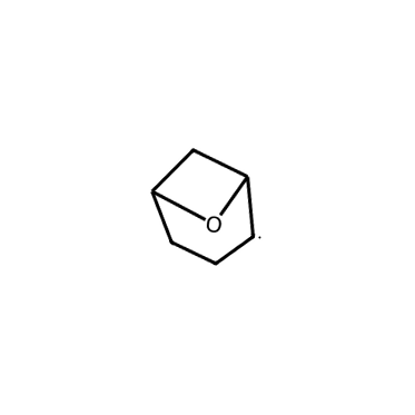 [CH]1CCC2CC1O2